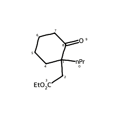 CCCC1(CC(=O)OCC)CCCCC1=O